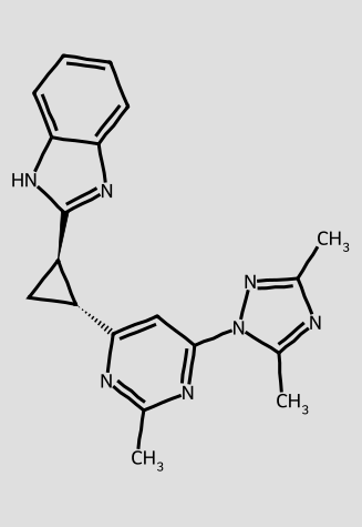 Cc1nc([C@@H]2C[C@H]2c2nc3ccccc3[nH]2)cc(-n2nc(C)nc2C)n1